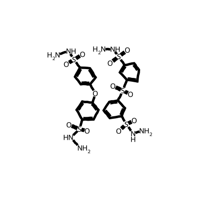 NNS(=O)(=O)c1ccc(Oc2ccc(S(=O)(=O)NN)cc2)cc1.NNS(=O)(=O)c1cccc(S(=O)(=O)c2cccc(S(=O)(=O)NN)c2)c1